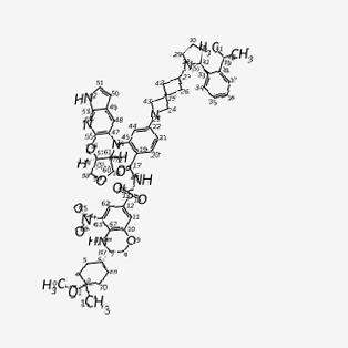 COC1(C)CCC([C@H]2COc3cc(S(=O)(=O)NC(=O)c4ccc(N5CC6(CC(N7CCC[C@H]7c7ccccc7C(C)C)C6)C5)cc4N4c5cc6cc[nH]c6nc5O[C@@H]5COC[C@H]54)cc([N+](=O)[O-])c3N2)CC1